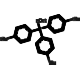 CCCCCCCC[B-](c1ccc(C(C)(C)C)cc1)(c1ccc(C(C)(C)C)cc1)c1ccc(C(C)(C)C)cc1